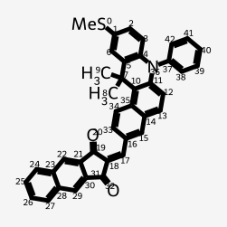 CSc1ccc2c(c1)C(C)(C)c1c(ccc3cc(C=C4C(=O)c5cc6ccccc6cc5C4=O)ccc13)N2c1ccccc1